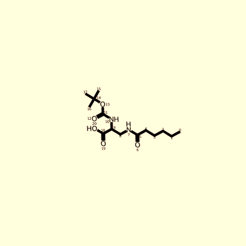 CCCCCC(=O)NCC(NC(=O)OC(C)(C)C)C(=O)O